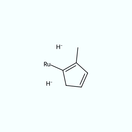 CC1=[C]([Ru])CC=C1.[H-].[H-]